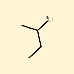 [3Li][CH](C)CC